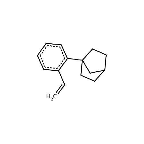 C=Cc1ccccc1C12CCC(CC1)C2